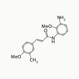 COc1ccc(/C=C/C(=O)Nc2cccc(N)c2OC)cc1C